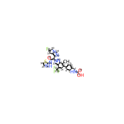 Cc1c(-c2ccc(CNC(=O)O)cc2)cc(C(F)(F)F)c2cn(C(C(=O)Nc3nccs3)c3ncn4c3C[C@@H](F)C4)nc12